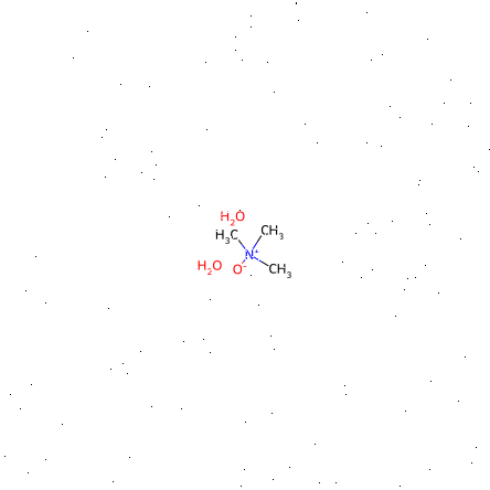 C[N+](C)(C)[O-].O.O